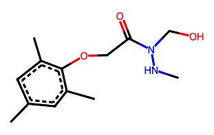 CNN(CO)C(=O)COc1c(C)cc(C)cc1C